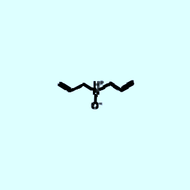 C=CC[NH+]([O-])CC=C